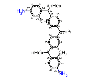 CCCCCCC(c1ccc(C(CCC)c2ccc(C(CCCCCC)c3ccc(N)cc3C)cc2)cc1)c1ccc(N)cc1C